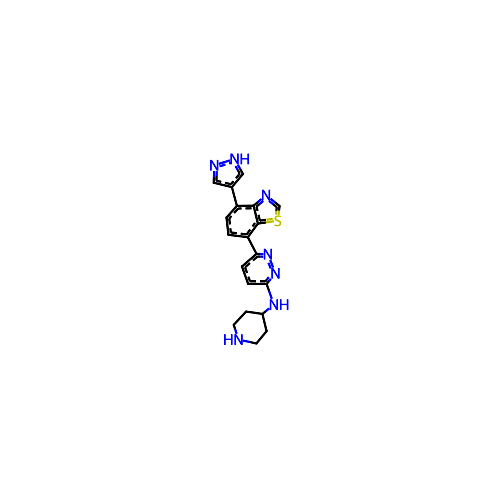 c1nc2c(-c3cn[nH]c3)ccc(-c3ccc(NC4CCNCC4)nn3)c2s1